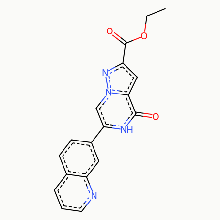 CCOC(=O)c1cc2c(=O)[nH]c(-c3ccc4cccnc4c3)cn2n1